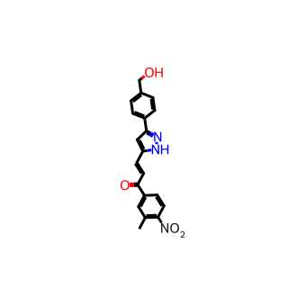 Cc1cc(C(=O)/C=C/c2cc(-c3ccc(CO)cc3)n[nH]2)ccc1[N+](=O)[O-]